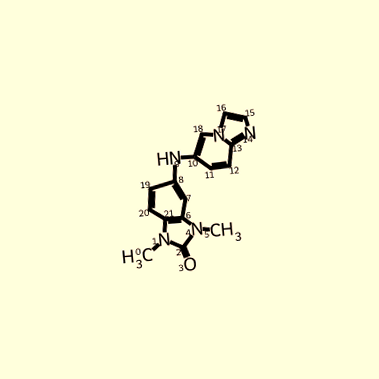 Cn1c(=O)n(C)c2cc(Nc3ccc4nccn4c3)ccc21